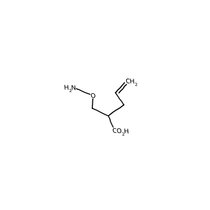 C=CCC(CON)C(=O)O